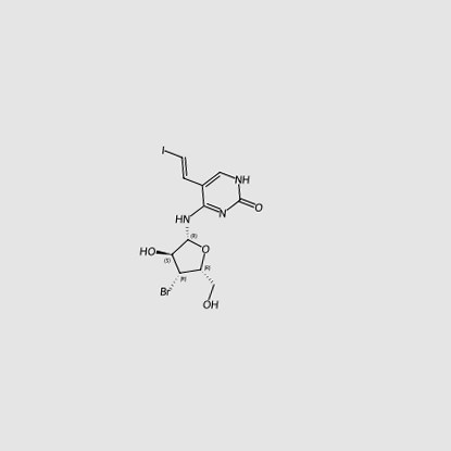 O=c1nc(N[C@@H]2O[C@H](CO)[C@H](Br)[C@H]2O)c(C=CI)c[nH]1